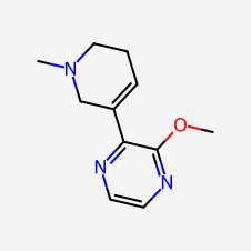 COc1nccnc1C1=CCCN(C)C1